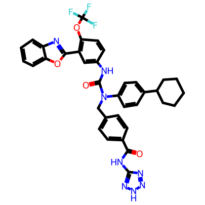 O=C(Nc1nn[nH]n1)c1ccc(CN(C(=O)Nc2ccc(OC(F)(F)F)c(-c3nc4ccccc4o3)c2)c2ccc(C3CCCCC3)cc2)cc1